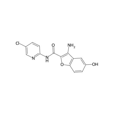 Nc1c(C(=O)Nc2ccc(Cl)cn2)oc2ccc(O)cc12